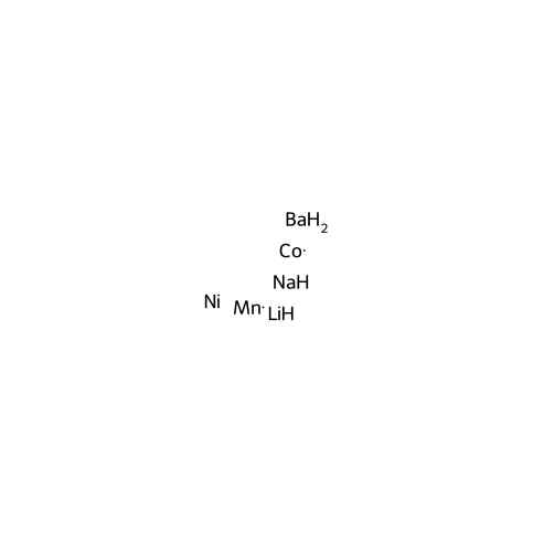 [BaH2].[Co].[LiH].[Mn].[NaH].[Ni]